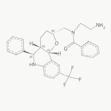 NCCN(C[C@H]1CC[C@@H]2[C@H](O1)c1cc(C(F)(F)F)ccc1N[C@H]2c1ccccc1)C(=O)c1ccccc1